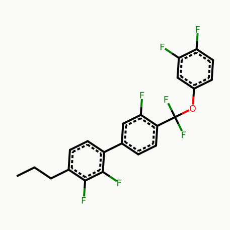 CCCc1ccc(-c2ccc(C(F)(F)Oc3ccc(F)c(F)c3)c(F)c2)c(F)c1F